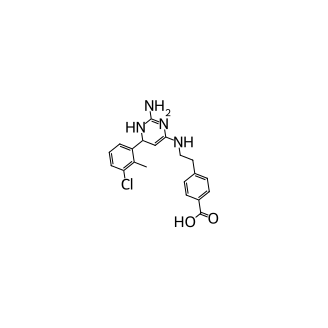 Cc1c(Cl)cccc1C1C=C(NCCc2ccc(C(=O)O)cc2)N=C(N)N1